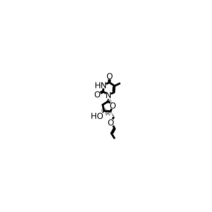 CC=COC[C@H]1O[C@@H](n2cc(C)c(=O)[nH]c2=O)C[C@H]1O